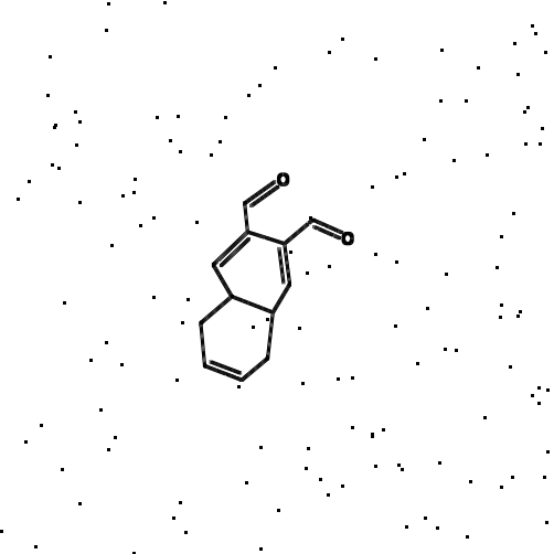 O=CC1=CC2CC=CCC2C=C1C=O